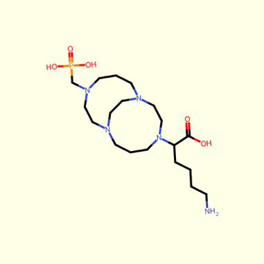 NCCCCC(C(=O)O)N1CCCN2CCN(CCCN(CP(=O)(O)O)CC2)CC1